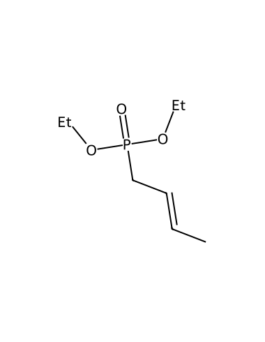 C/C=C/CP(=O)(OCC)OCC